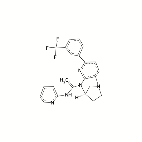 C=C(Nc1ccccn1)N1c2nc(-c3cccc(C(F)(F)F)c3)ccc2N2CC[C@@H]1C2